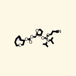 CC(C)N(C(C)C)P(OCCC#N)O[C@H]1CCO[C@@H]1COC(=O)OC1/C=C/CCCCC1